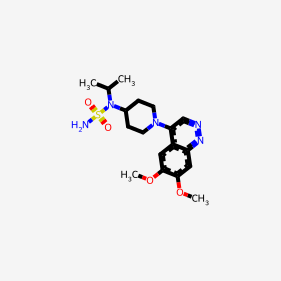 COc1cc2nncc(N3CCC(N(C(C)C)S(N)(=O)=O)CC3)c2cc1OC